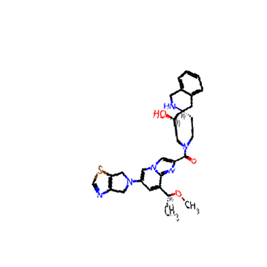 CO[C@H](C)c1cc(N2Cc3ncsc3C2)cn2cc(C(=O)N3CC[C@]4(Cc5ccccc5CN4)[C@H](O)C3)nc12